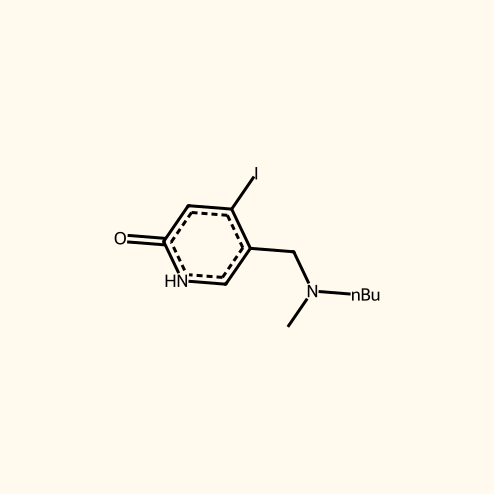 CCCCN(C)Cc1c[nH]c(=O)cc1I